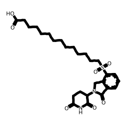 O=C(O)CCCCCCCCCCCCCS(=O)(=O)c1cccc2c1CN(C1CCC(=O)NC1=O)C2=O